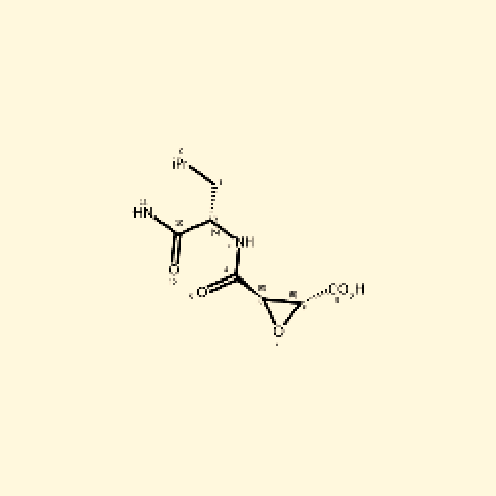 CC(C)C[C@H](NC(=O)[C@@H]1O[C@H]1C(=O)O)C([NH])=O